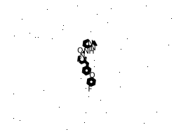 O=C(Nc1cccn2ccnc12)N1CCCC(Cc2cccc(Oc3ccc(F)cc3)c2)C1